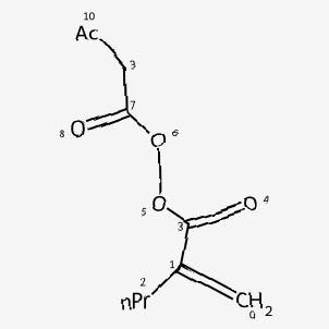 C=C(CCC)C(=O)OOC(=O)CC(C)=O